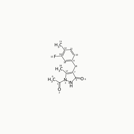 CC(=O)n1[nH]c(=O)c(Cc2ccc(C)c(F)c2)c1C